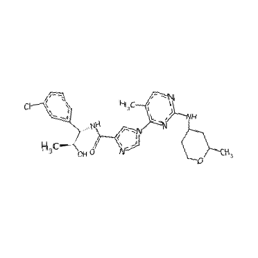 Cc1cnc(NC2CCOC(C)C2)nc1-n1cnc(C(=O)N[C@@H](c2cccc(Cl)c2)[C@H](C)O)c1